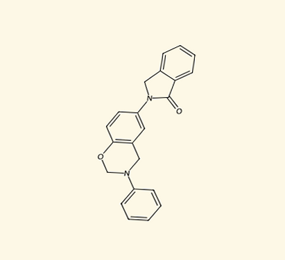 O=C1c2ccccc2CN1c1ccc2c(c1)CN(c1ccccc1)CO2